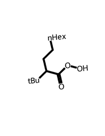 CCCCCCCCC(C(=O)OO)C(C)(C)C